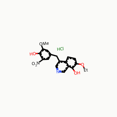 CCOc1ccc2c(Cc3cc(OC)c(O)c([N+](=O)[O-])c3)cncc2c1O.Cl